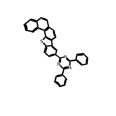 c1ccc(-c2nc(-c3ccccc3)nc(-c3ccc4sc5c(ccc6ccc7ccccc7c65)c4c3)n2)cc1